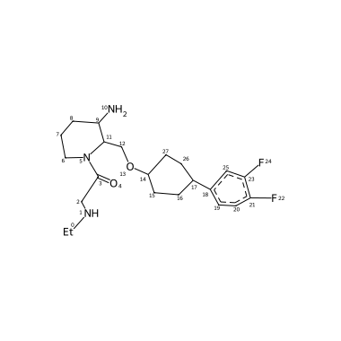 CCNCC(=O)N1CCCC(N)C1COC1CCC(c2ccc(F)c(F)c2)CC1